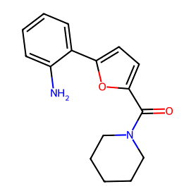 Nc1ccccc1-c1ccc(C(=O)N2CCCCC2)o1